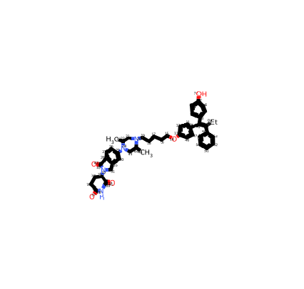 CC/C(=C(\c1ccc(O)cc1)c1ccc(OCCCCCN2CC(C)N(c3ccc4c(c3)CN(C3CCC(=O)NC3=O)C4=O)CC2C)cc1)c1ccccc1